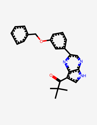 CC(C)(C)C(=O)c1c[nH]c2ncc(-c3cccc(OCc4ccccc4)c3)nc12